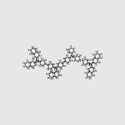 c1ccc(N(c2ccc(-c3ccc(N(c4ccc5ccccc5c4)c4ccc5ccccc5c4)cc3)cc2)c2ccc(-c3ccc(N(c4ccc(-c5ccc(N(c6ccc7ccccc7c6)c6ccc7ccccc7c6)cc5)cc4)c4cccc5ccccc45)cc3)cc2)cc1